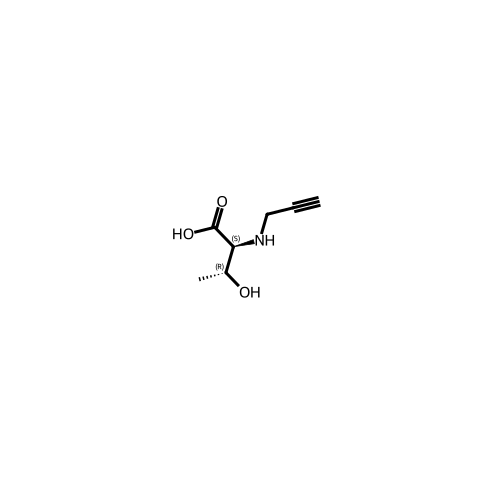 C#CCN[C@H](C(=O)O)[C@@H](C)O